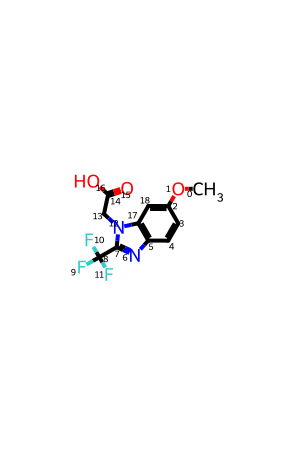 COc1ccc2nc(C(F)(F)F)n(CC(=O)O)c2c1